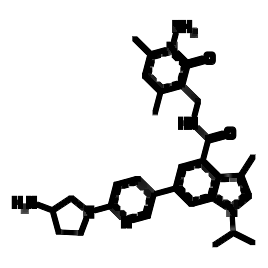 Cc1cc(C)n(N)c(=O)c1CNC(=O)c1cc(-c2ccc(N3CCC(N)C3)nc2)cc2c1c(C)cn2C(C)C